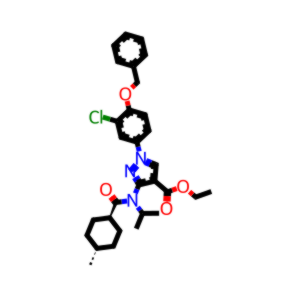 CCOC(=O)c1cn(-c2ccc(OCc3ccccc3)c(Cl)c2)nc1N(C(=O)[C@H]1CC[C@H](C)CC1)C(C)C